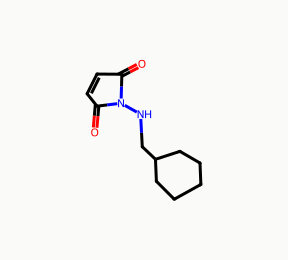 O=C1C=CC(=O)N1NCC1CCCCC1